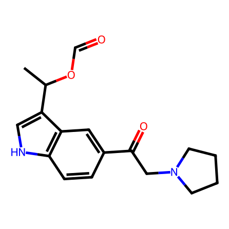 CC(OC=O)c1c[nH]c2ccc(C(=O)CN3CCCC3)cc12